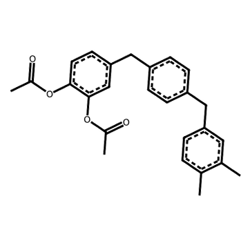 CC(=O)Oc1ccc(Cc2ccc(Cc3ccc(C)c(C)c3)cc2)cc1OC(C)=O